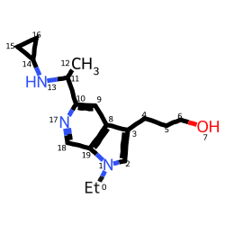 CCn1cc(CCCO)c2cc(C(C)NC3CC3)ncc21